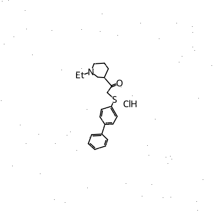 CCN1CCCC(C(=O)CSc2ccc(-c3ccccc3)cc2)C1.Cl